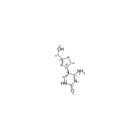 Nc1nc(=O)[nH]cc1[C@H]1C=C(CO)CC1